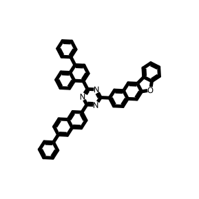 c1ccc(-c2ccc3cc(-c4nc(-c5ccc6cc7oc8ccccc8c7cc6c5)nc(-c5ccc(-c6ccccc6)c6ccccc56)n4)ccc3c2)cc1